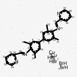 Br.Br.Br.Br.Cc1cc(-c2cc(C)c(N=Cc3ccccn3)c(C)c2)cc(C)c1N=Cc1ccccn1.[Cu].[Cu]